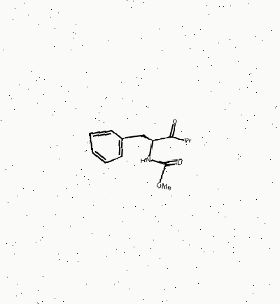 COC(=O)N[C@@H](Cc1ccccc1)C(=O)C(C)C